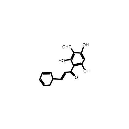 O=Cc1c(O)cc(O)c(C(=O)C=CC2C=CC=CC2)c1O